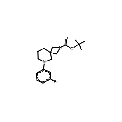 CC(C)(C)OC(=O)N1CC2(CCCN(c3cccc(Br)c3)C2)C1